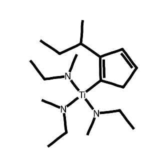 CCC(C)C1=[C]([Ti]([N](C)CC)([N](C)CC)[N](C)CC)CC=C1